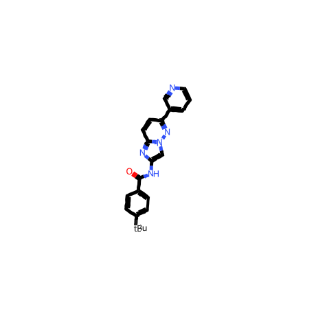 CC(C)(C)c1ccc(C(=O)Nc2cn3nc(-c4cccnc4)ccc3n2)cc1